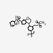 CS(=O)(=O)CCc1cc(C(F)(F)F)ccc1C1CCOc2cc(S(=O)(=O)Nc3ccncn3)ccc21